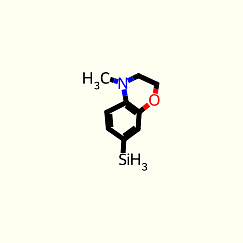 CN1CCOc2cc([SiH3])ccc21